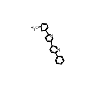 CC1C=CC=C(c2ccc(-c3ccc(-c4ccccc4)nc3)cn2)C1